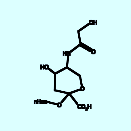 CCCCCCOC1(C(=O)O)CC(O)C(NC(=O)CO)CO1